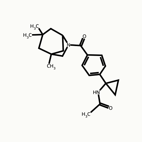 CC(=O)NC1(c2ccc(C(=O)N3CC4(C)CC3CC(C)(C)C4)cc2)CC1